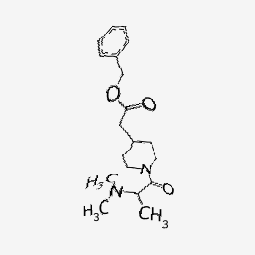 CC(C(=O)N1CCC(CC(=O)OCc2ccccc2)CC1)N(C)C